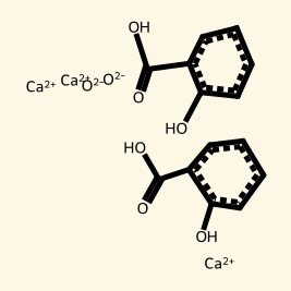 O=C(O)c1ccccc1O.O=C(O)c1ccccc1O.[Ca+2].[Ca+2].[Ca+2].[O-2].[O-2]